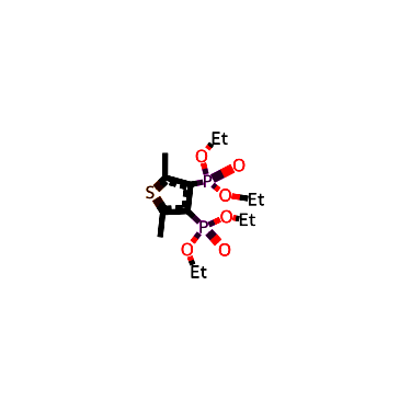 CCOP(=O)(OCC)c1c(C)sc(C)c1P(=O)(OCC)OCC